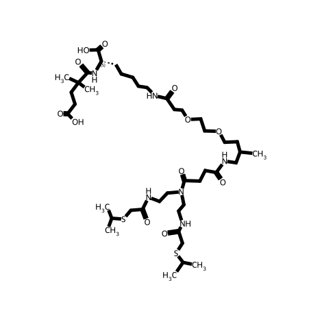 CC(CCOCCOCCC(=O)NCCCCC[C@H](NC(=O)C(C)(C)CCC(=O)O)C(=O)O)CNC(=O)CCC(=O)N(CCNC(=O)CSC(C)C)CCNC(=O)CSC(C)C